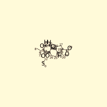 CSCO[C@@H]1[C@@]2(C(C)C)O[C@H]2[C@@H]2O[C@@]23[C@@]2(C)CCC4=C(COC4=O)[C@@H]2CC2O[C@]213